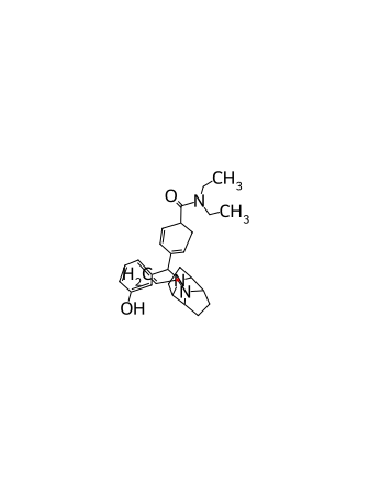 C=CCN1C2CCC1C1CCC2N1C(C1=CCC(C(=O)N(CC)CC)C=C1)c1cccc(O)c1